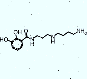 NCCCCNCCCNC(=O)c1cccc(O)c1O